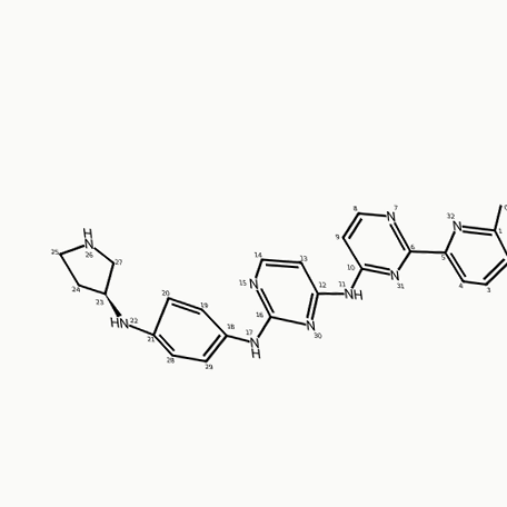 Cc1cccc(-c2nccc(Nc3ccnc(Nc4ccc(N[C@H]5CCNC5)cc4)n3)n2)n1